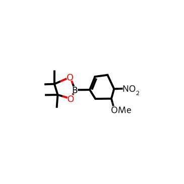 COC1CC(B2OC(C)(C)C(C)(C)O2)=CCC1[N+](=O)[O-]